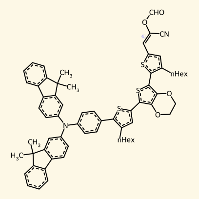 CCCCCCc1cc(-c2sc(-c3sc(/C=C(\C#N)OC=O)cc3CCCCCC)c3c2OCCO3)sc1-c1ccc(N(c2ccc3c(c2)C(C)(C)c2ccccc2-3)c2ccc3c(c2)C(C)(C)c2ccccc2-3)cc1